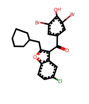 O=C(c1cc(Br)c(O)c(Br)c1)c1c(CC2CCCCC2)oc2ccc(Cl)cc12